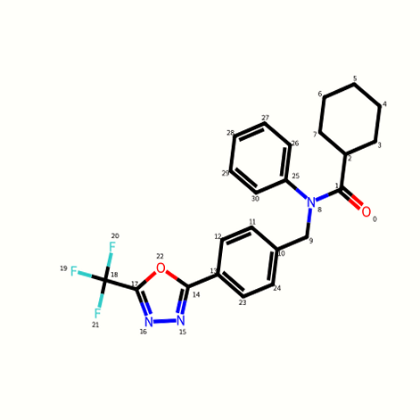 O=C(C1CCCCC1)N(Cc1ccc(-c2nnc(C(F)(F)F)o2)cc1)c1ccccc1